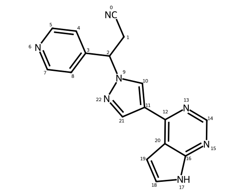 N#CCC(c1ccncc1)n1cc(-c2ncnc3[nH]ccc23)cn1